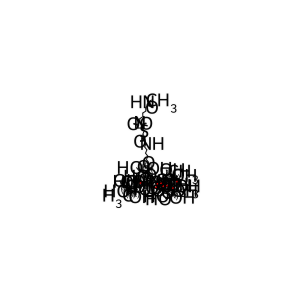 CNC(=O)CCCCCN1C(=O)CC(SCCC(=O)NCCCCCO[C@@H]2OC(CO)[C@H](O)[C@H](O[C@@H]3OC(CO[C@]4(C(=O)O)C[C@@H](O)[C@@H](C)C([C@H](O)[C@H](O)CO)O4)[C@@H](O)[C@H](O[C@@H]4OC(CO)[C@H](O[C@@H]5OC(CO)[C@H](O)[C@H](O)C5C)[C@H](O[C@@]5(C(=O)O)CC(O)[C@H](C)C([C@H](O)[C@H](O)CO)O5)C4O)C3NC(C)=O)C2O)C1=O